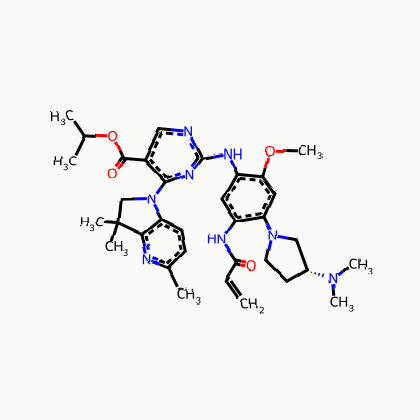 C=CC(=O)Nc1cc(Nc2ncc(C(=O)OC(C)C)c(N3CC(C)(C)c4nc(C)ccc43)n2)c(OC)cc1N1CC[C@@H](N(C)C)C1